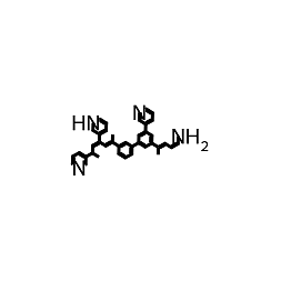 C/C(=C\C(=C/C(C)c1cccnc1)C1=CC=CNC1)c1cccc(-c2cc(/C(C)=C/C=C\N)cc(-c3cccnc3)c2)c1